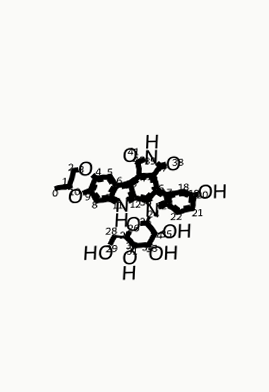 CC1COc2cc3c(cc2O1)[nH]c1c3c2c(c3c4cc(O)ccc4n([C@@H]4O[C@H](CO)[C@@H](O)[C@H](O)[C@H]4O)c13)C(=O)NC2=O